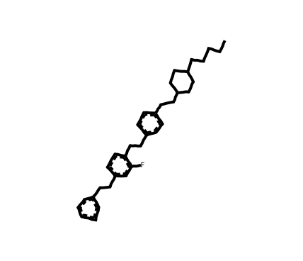 CCCCCC1CCC(CCc2ccc(CCc3ccc(CCc4ccccc4)cc3F)cc2)CC1